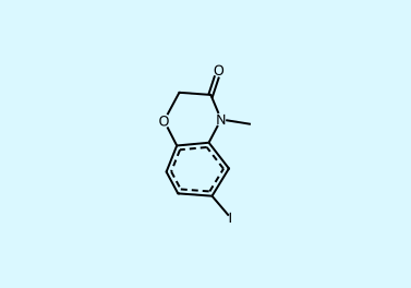 CN1C(=O)COc2ccc(I)cc21